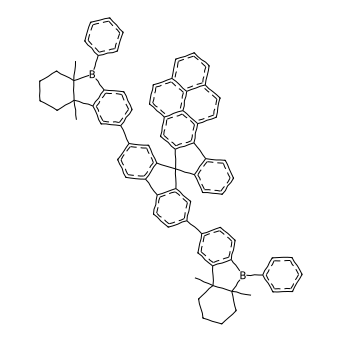 CC12CCCCC1(C)c1cc(-c3ccc4c(c3)C3(c5cc(-c6ccc7c(c6)C6(C)CCCCC6(C)B7c6ccccc6)ccc5-4)c4ccccc4-c4c3cc3ccc5cccc6ccc4c3c56)ccc1B2c1ccccc1